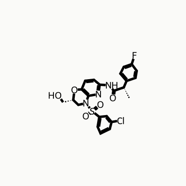 C[C@H](C(=O)Nc1ccc2c(n1)N(S(=O)(=O)c1cccc(Cl)c1)C[C@H](CO)O2)c1ccc(F)cc1